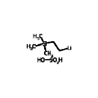 O=S(=O)(O)O.[Li][CH2]C[Si](C)(C)C